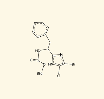 CC(C)(C)OC(=O)NC(Cc1ccccc1)c1nc(Br)c(Cl)[nH]1